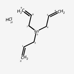 C=C[CH2][Sn]([CH2]C=C)[CH2]C=C.Cl